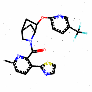 Cc1ccc(-c2nccs2)c(C(=O)N2CC3CC(Oc4ccc(C(F)(F)F)cn4)C2C3)n1